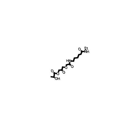 CCNC(=O)CCCCCNC(=O)COCC(=O)COC(=O)C(C)O